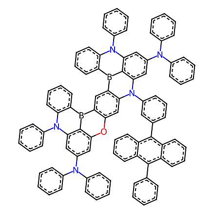 c1ccc(-c2c3ccccc3c(-c3cccc(N4c5cc6c(cc5B5c7ccccc7N(c7ccccc7)c7cc(N(c8ccccc8)c8ccccc8)cc4c75)B4c5ccccc5N(c5ccccc5)c5cc(N(c7ccccc7)c7ccccc7)cc(c54)O6)c3)c3ccccc23)cc1